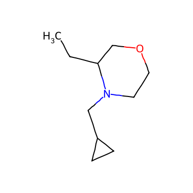 CCC1COCCN1CC1CC1